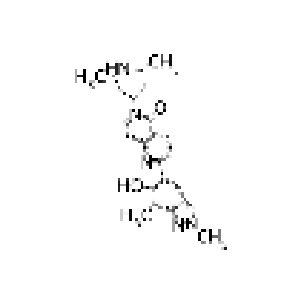 Cc1c(O)c(-c2ccc3c(=O)n(C4C[C@@H](C)N[C@@H](C)C4)ccc3n2)cc2cn(C)nc12